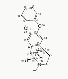 CN1CC[C@]23CCCC[C@H]2[C@H]1Cc1ccc(Oc2ccccc2O)cc13